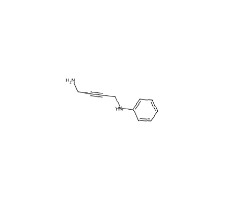 NCC#CCNc1ccccc1